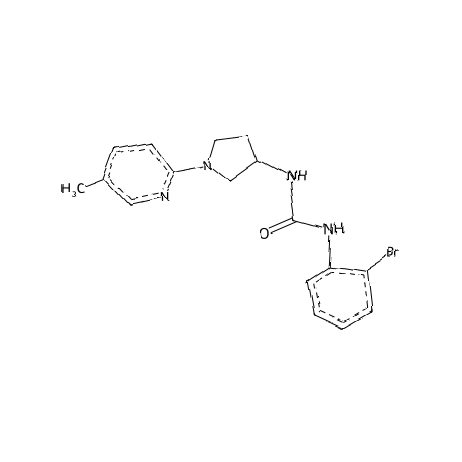 Cc1ccc(N2CCC(NC(=O)Nc3ccccc3Br)C2)nc1